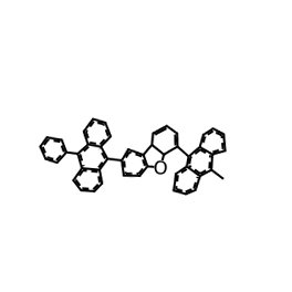 Cc1c2ccccc2c(C2=CC=CC3c4cc(-c5c6ccccc6c(-c6ccccc6)c6ccccc56)ccc4OC23)c2ccccc12